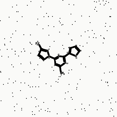 Nc1cc(-n2ccc(C(F)(F)F)n2)nc(-c2ccco2)n1